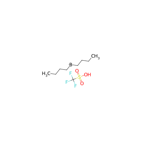 CCCC[B]CCCC.O=S(=O)(O)C(F)(F)F